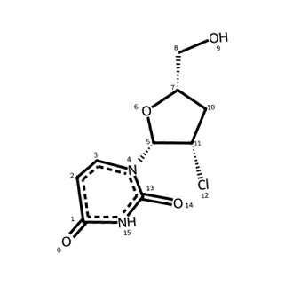 O=c1ccn([C@@H]2O[C@H](CO)C[C@@H]2Cl)c(=O)[nH]1